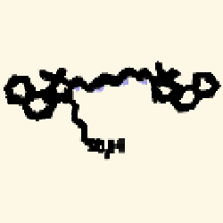 CC1(C)C(/C=C/C=C/C=C/C=C2\N(CCCCS(=O)(=O)O)c3ccc4ccccc4c3C2(C)C)=Nc2ccc3ccccc3c21